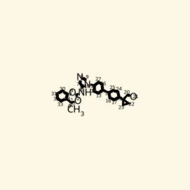 C[C@@H](OC(=O)Nc1cncn1-c1ccc(-c2ccc(C3(C=O)CC3)cc2)cc1)c1ccccc1